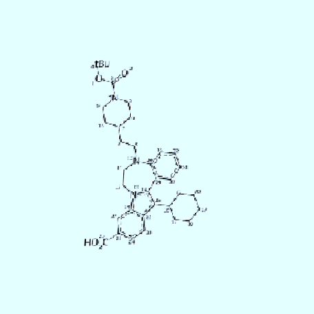 CC(C)(C)OC(=O)N1CCC(CCN2CCn3c(c(C4CCCCC4)c4ccc(C(=O)O)cc43)-c3ccccc32)CC1